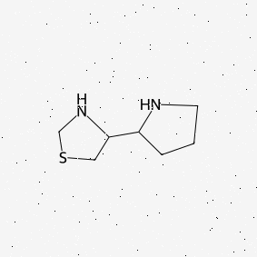 C1CNC(C2CSCN2)C1